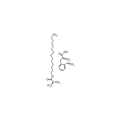 C=C(C)C(=O)OCCCCCCCCCCCCCC.C=Cc1ccccc1CC(=C)C(=O)O